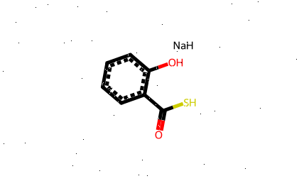 O=C(S)c1ccccc1O.[NaH]